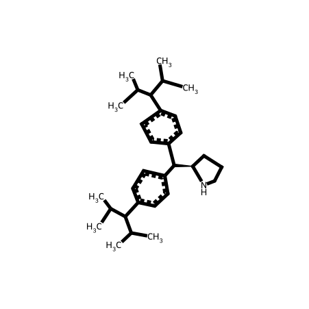 CC(C)C(c1ccc(C(c2ccc(C(C(C)C)C(C)C)cc2)[C@H]2CCCN2)cc1)C(C)C